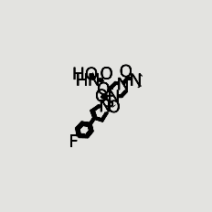 CN(C)C(=O)N1CCN(S(=O)(=O)N2CC=C(c3ccc(F)cc3)CC2)[C@H](OC(=O)NO)C1